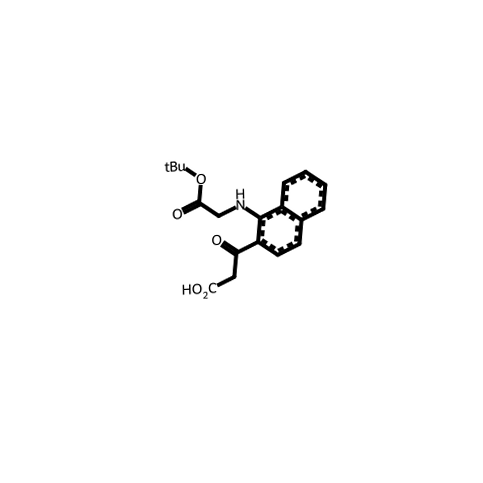 CC(C)(C)OC(=O)CNc1c(C(=O)CC(=O)O)ccc2ccccc12